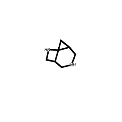 C1NCC2CC23NCC13